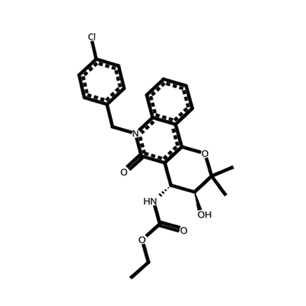 CCOC(=O)N[C@@H]1c2c(c3ccccc3n(Cc3ccc(Cl)cc3)c2=O)OC(C)(C)[C@H]1O